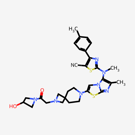 Cc1ccc(-c2nc(N(C)c3c(C)nc4sc(N5CCC6(CC5)CN(CC(=O)N5CC(O)C5)C6)cn34)sc2C#N)cc1